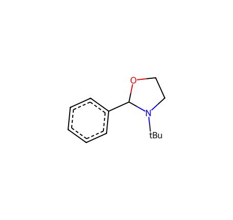 CC(C)(C)N1CCOC1c1ccccc1